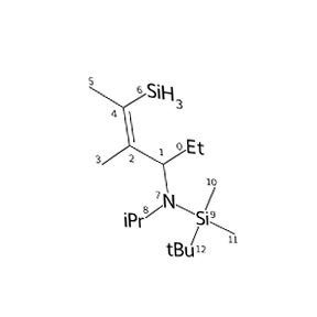 CCC(C(C)=C(C)[SiH3])N(C(C)C)[Si](C)(C)C(C)(C)C